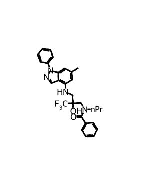 CCCN(CC(O)(CNc1cc(C)cc2c1cnn2-c1ccccc1)C(F)(F)F)C(=O)c1ccccc1